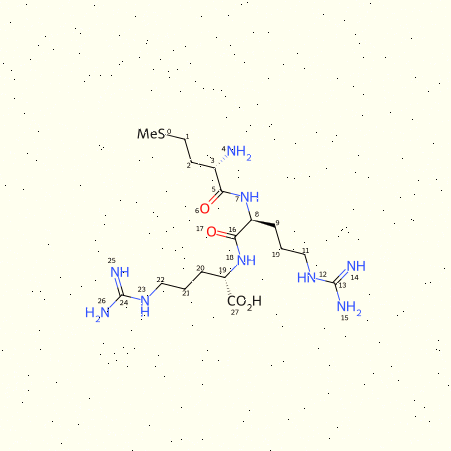 CSCC[C@H](N)C(=O)N[C@@H](CCCNC(=N)N)C(=O)N[C@@H](CCCNC(=N)N)C(=O)O